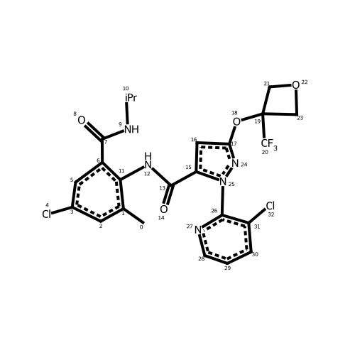 Cc1cc(Cl)cc(C(=O)NC(C)C)c1NC(=O)c1cc(OC2(C(F)(F)F)COC2)nn1-c1ncccc1Cl